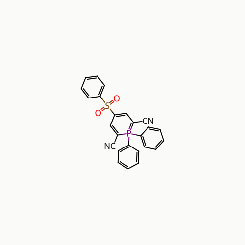 N#CC1=CC(S(=O)(=O)c2ccccc2)=CC(C#N)=P1(c1ccccc1)c1ccccc1